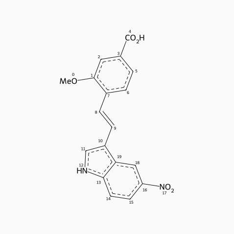 COc1cc(C(=O)O)ccc1C=Cc1c[nH]c2ccc([N+](=O)[O-])cc12